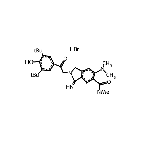 Br.CNC(=O)c1cc2c(cc1N(C)C)CN(CC(=O)c1cc(C(C)(C)C)c(O)c(C(C)(C)C)c1)C2=N